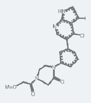 COCC(=O)N1CCN(c2cccc(-c3cnc4[nH]cc(I)c4c3Cl)c2)C(=O)C1